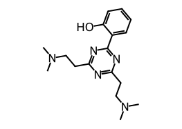 CN(C)CCc1nc(CCN(C)C)nc(-c2ccccc2O)n1